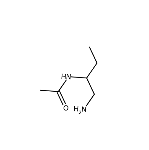 CCC(CN)NC(C)=O